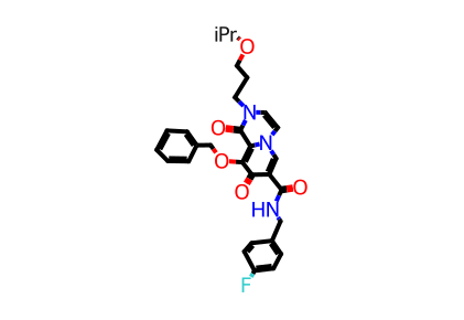 CC(C)OCCCn1ccn2cc(C(=O)NCc3ccc(F)cc3)c(=O)c(OCc3ccccc3)c2c1=O